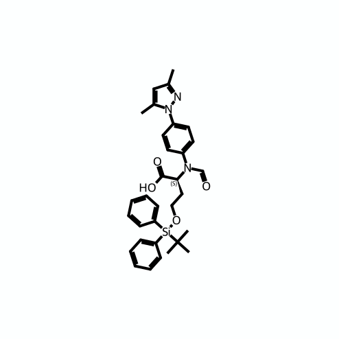 Cc1cc(C)n(-c2ccc(N(C=O)[C@@H](CCO[Si](c3ccccc3)(c3ccccc3)C(C)(C)C)C(=O)O)cc2)n1